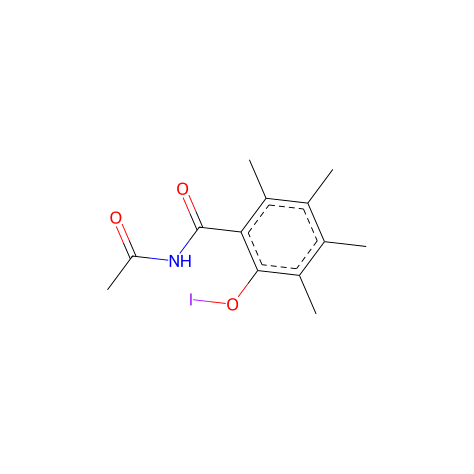 CC(=O)NC(=O)c1c(C)c(C)c(C)c(C)c1OI